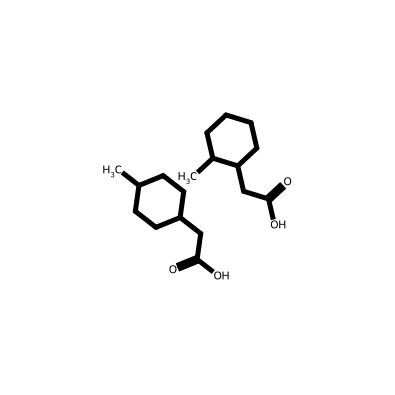 CC1CCC(CC(=O)O)CC1.CC1CCCCC1CC(=O)O